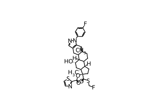 C[C@]12Cc3cnn(-c4ccc(F)cc4)c3C=C1CCC1[C@@H]2[C@@H](O)C[C@@]2(C)[C@H]1CC[C@]2(OC(=O)c1nccs1)C(=O)SCF